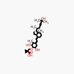 C=C1/C(=C\C=C2/CCC[C@@]3(C)C2CC[C@@H]3[C@H](C)CC#CC(C)(C)O)C[C@@H](O)[C@H](OCC2(C(=O)O)CC2)[C@@H]1O